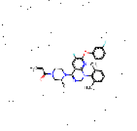 C=CC(=O)N1CCN(C2=NCN(c3c(C)cccc3C)c3nc(Oc4cccc(F)c4)c(F)cc32)[C@@H](C)C1